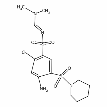 CN(C)C=NS(=O)(=O)c1cc(S(=O)(=O)N2CCCCC2)c(N)cc1Cl